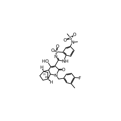 Cc1cc(CN2C(=O)C(C3=NS(=O)(=O)c4cc(N(C)S(C)(=O)=O)ccc4N3)=C(O)C3C2[C@@H]2CC[C@H]3C2)ccc1F